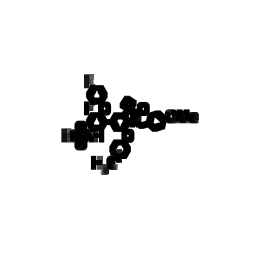 CCS(=O)(=O)Nc1ccc(Oc2ccc(F)cc2F)c(-c2cc(OC3CCN(C)CC3)c3c(c2)C2(CCC2)C(=O)N3Cc2ccc(OC)cc2)c1